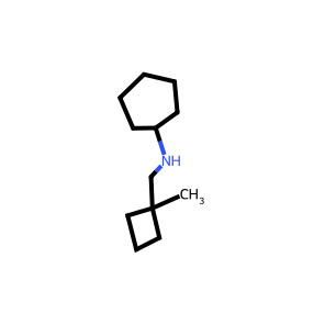 CC1(CNC2CCCCC2)CCC1